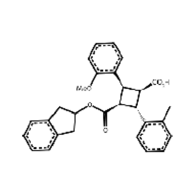 COc1ccccc1[C@@H]1[C@H](C(=O)OC2Cc3ccccc3C2)[C@@H](c2ccccc2C)[C@@H]1C(=O)O